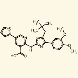 COc1ccc(-c2nc(Nc3ncc(-c4cccs4)cc3C(=O)O)sc2CC(C)(C)C)cc1OC